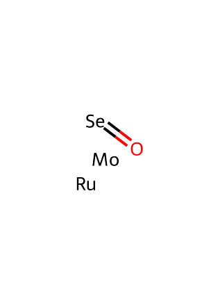 O=[Se].[Mo].[Ru]